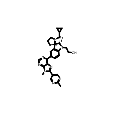 Cc1ncc(-c2nc3c(-c4ccc5c(c4)[C@@]4(CCCN4C(=O)C4CC4)C(=O)N5CCO)ncnc3n2C)cn1